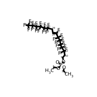 CCOP(=O)(OCC)OCCC(F)(F)C(F)(F)C(F)(F)C(F)(F)C(F)(F)C(F)=CCC(F)(F)C(F)(F)C(F)(F)C(F)(F)C(F)(F)C(F)(F)F